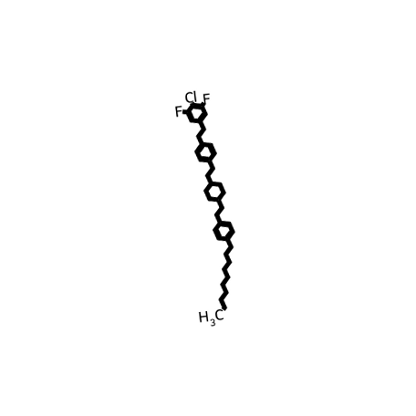 CCCCCCCCCCc1ccc(CCC2CCC(CCc3ccc(CCc4cc(F)c(Cl)c(F)c4)cc3)CC2)cc1